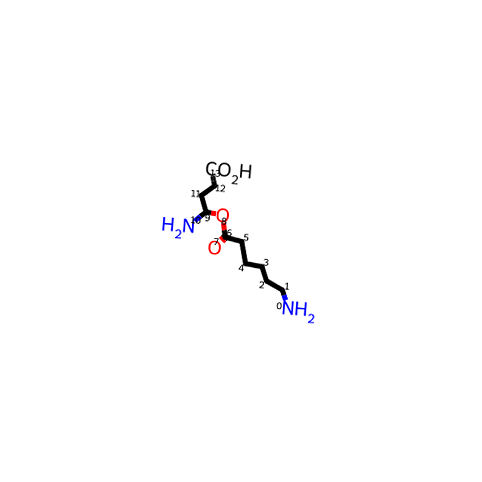 NCCCCCC(=O)OC(N)CCC(=O)O